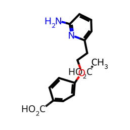 CC(=O)O.Nc1cccc(CCOc2ccc(C(=O)O)cc2)n1